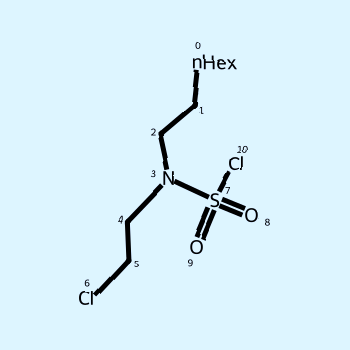 CCCCCCCCN(CCCl)S(=O)(=O)Cl